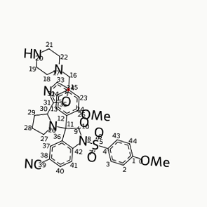 COc1ccc(S(=O)(=O)N2C(=O)C(c3ccc(CN4CCNCC4)cc3OC)(N3CCCC3c3ncco3)c3cc(C#N)ccc32)cc1